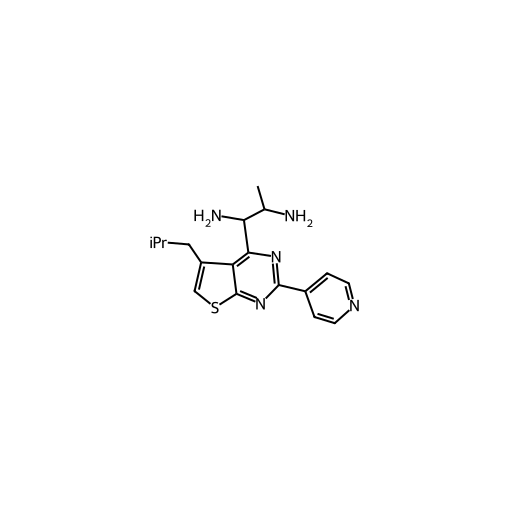 CC(C)Cc1csc2nc(-c3ccncc3)nc(C(N)C(C)N)c12